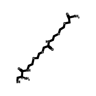 NC(=O)COCCOCCNC(=O)COCCOCCNC(=O)[C@@H](N)CS